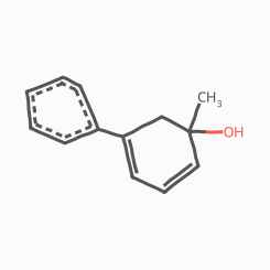 CC1(O)C=CC=C(c2ccccc2)C1